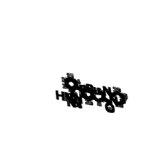 CCCCc1nc2n(c(=O)c1Cc1ccc(-c3ccccc3-c3nnn[nH]3)cc1)CCCC2